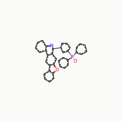 O=P(c1ccccc1)(c1ccccc1)c1cccc(-c2nc3ccccc3c3cc4c(cc23)oc2ccccc24)c1